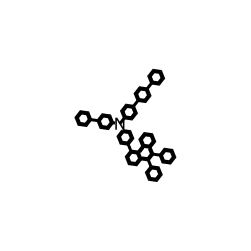 c1ccc(-c2ccc(-c3ccc(N(c4ccc(-c5ccccc5)cc4)c4ccc(-c5cccc6c(-c7ccccc7)c(-c7ccccc7)c7ccccc7c56)cc4)cc3)cc2)cc1